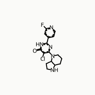 O=c1[nH]c(-c2ccnc(F)c2)nc(N2CCCC3NCCC32)c1Cl